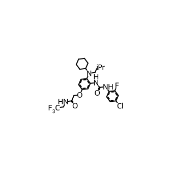 CC(C)CN(c1ccc(OCC(=O)NCC(F)(F)F)cc1NC(=O)Nc1ccc(Cl)cc1F)C1CCCCC1